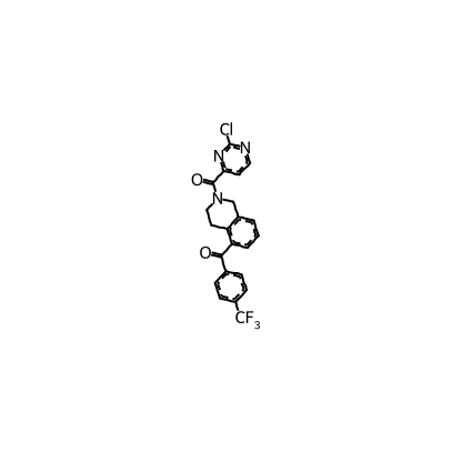 O=C(c1ccc(C(F)(F)F)cc1)c1cccc2c1CCN(C(=O)c1ccnc(Cl)n1)C2